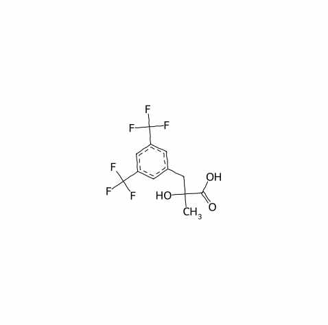 CC(O)(Cc1cc(C(F)(F)F)cc(C(F)(F)F)c1)C(=O)O